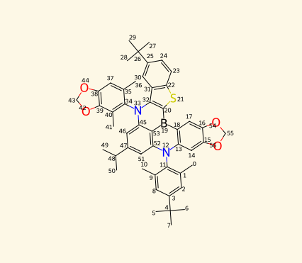 Cc1cc(C(C)(C)C)cc(C)c1N1c2cc3c(cc2B2c4sc5ccc(C(C)(C)C)cc5c4N(c4c(C)cc5c(c4C)OCO5)c4cc(C(C)C)cc1c42)OCO3